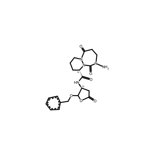 NN1CCC(=O)N2CCC[C@@H](C(=O)N[C@H]3CC(=O)OC3OCc3ccccc3)N2C1=O